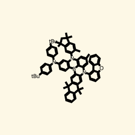 Cc1cc2c3c(c1)N(c1cccc4oc5ccccc5c14)c1cc4c(cc1B3c1ccc(N(c3ccc(C(C)(C)C)cc3)c3ccc(C(C)(C)C)cc3)cc1N2c1cc2c(cc1C)C(C)(C)CC2(C)C)C(C)(C)c1ccccc1C4(C)C